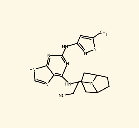 Cc1cc(Nc2nc(NC3CC4CCC(C3)N4CCC#N)c3nc[nH]c3n2)n[nH]1